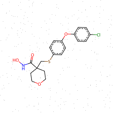 O=C(NO)C1(CSc2ccc(Oc3ccc(Cl)cc3)cc2)CCOCC1